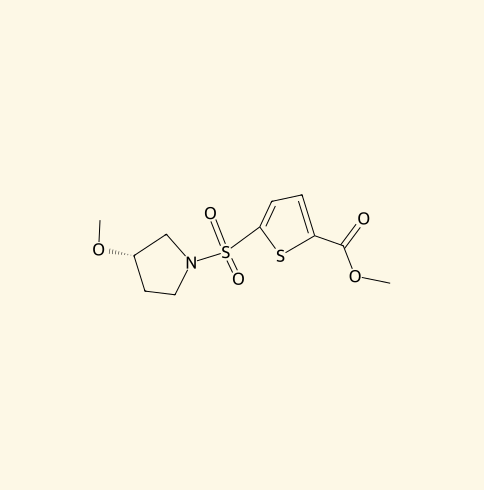 COC(=O)c1ccc(S(=O)(=O)N2CC[C@H](OC)C2)s1